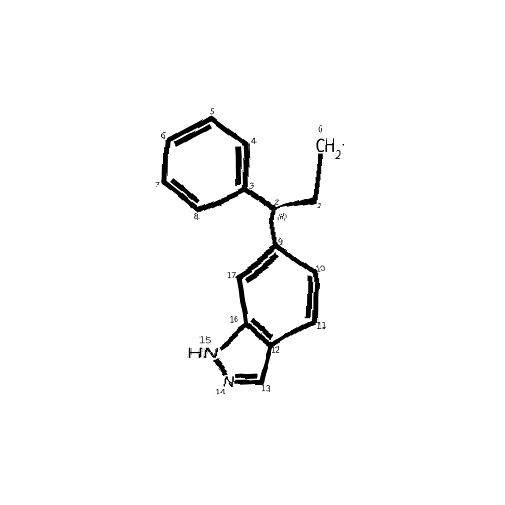 [CH2]C[C@H](c1ccccc1)c1ccc2cn[nH]c2c1